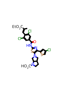 CCOC(=O)C(C)=Cc1c(Cl)cc(C(=O)Nc2nc(-c3cc(Cl)cs3)c(N3CC4CCN(C(=O)O)C4C3)s2)cc1Cl